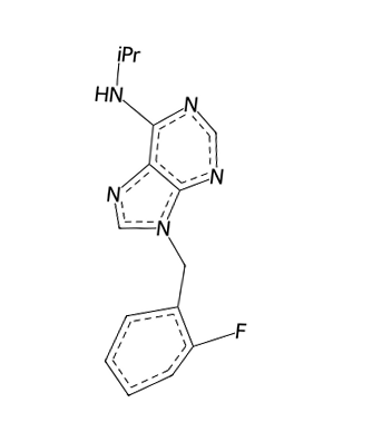 CC(C)Nc1ncnc2c1ncn2Cc1ccccc1F